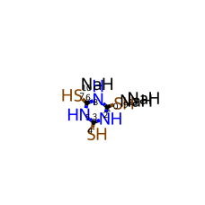 SC1NC(S)NC(S)N1.[NaH].[NaH].[NaH]